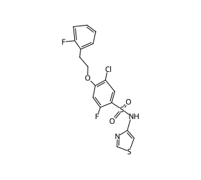 O=S(=O)(Nc1cscn1)c1cc(Cl)c(OCCc2ccccc2F)cc1F